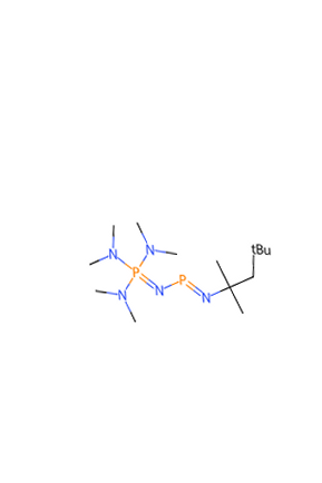 CN(C)P(=NP=NC(C)(C)CC(C)(C)C)(N(C)C)N(C)C